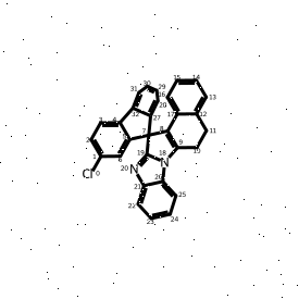 Clc1ccc2c(c1)C1(C3=C(CCc4ccccc43)n3c1nc1ccccc13)c1ccccc1-2